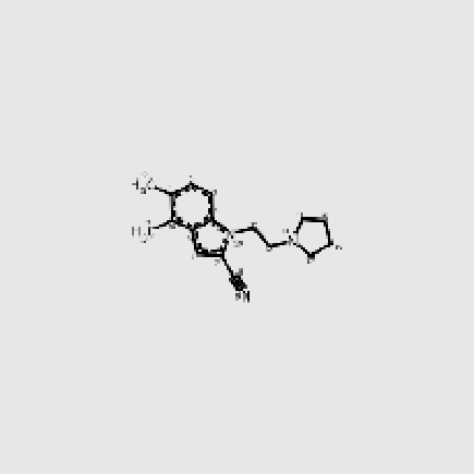 Cc1ccc2c(cc(C#N)n2CCN2CCCC2)c1C